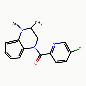 CC(=O)N1c2ccccc2N(C(=O)c2ccc(F)cn2)CC1C